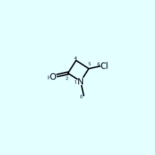 CN1C(=O)CC1Cl